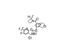 CC[C@@H](NC(=O)Oc1cc(C(=O)N2CCC[C@@H]2C)n2c1COCC2)c1cnc(C(F)(F)F)c(F)c1